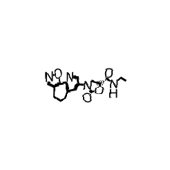 CCNC(=O)[C@H]1CN(c2cnc3c(c2)CCCc2cnoc2-3)C(=O)O1